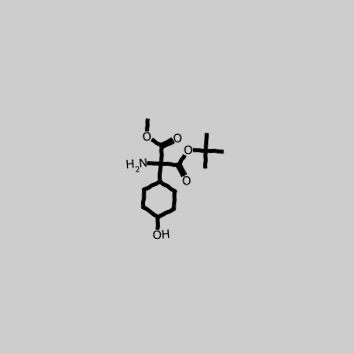 COC(=O)C(N)(C(=O)OC(C)(C)C)C1CCC(O)CC1